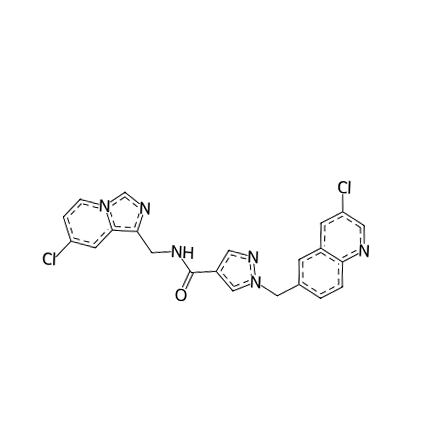 O=C(NCc1ncn2ccc(Cl)cc12)c1cnn(Cc2ccc3ncc(Cl)cc3c2)c1